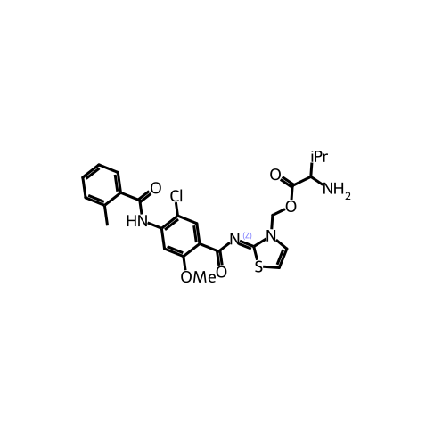 COc1cc(NC(=O)c2ccccc2C)c(Cl)cc1C(=O)/N=c1\sccn1COC(=O)C(N)C(C)C